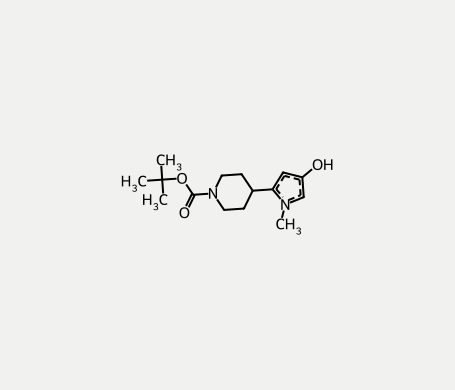 Cn1cc(O)cc1C1CCN(C(=O)OC(C)(C)C)CC1